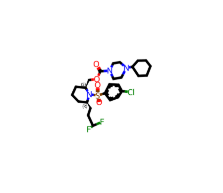 O=C(OC[C@@H]1CCC[C@H](CCC(F)F)N1S(=O)(=O)c1ccc(Cl)cc1)N1CCN(C2CCCCC2)CC1